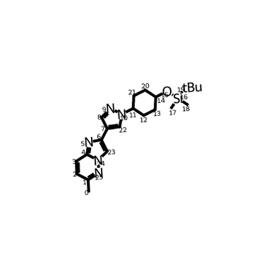 Cc1ccc2nc(-c3cnn(C4CCC(O[Si](C)(C)C(C)(C)C)CC4)c3)cn2n1